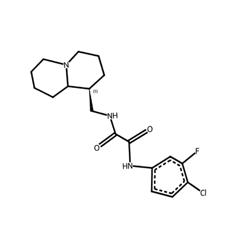 O=C(NC[C@@H]1CCCN2CCCCC12)C(=O)Nc1ccc(Cl)c(F)c1